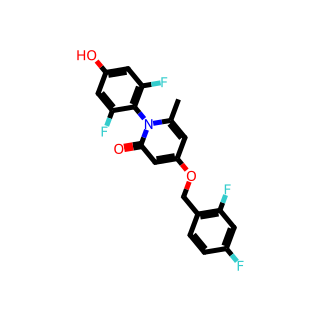 Cc1cc(OCc2ccc(F)cc2F)cc(=O)n1-c1c(F)cc(O)cc1F